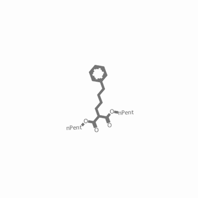 CCCCCOC(=O)C(CCCCc1ccccc1)C(=O)OCCCCC